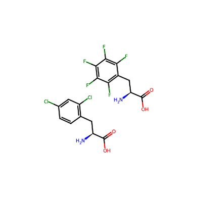 N[C@@H](Cc1c(F)c(F)c(F)c(F)c1F)C(=O)O.N[C@@H](Cc1ccc(Cl)cc1Cl)C(=O)O